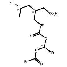 CCCC[C@@H](C)C[C@H](CNC(=O)O[C@H](OC(=O)C(C)C)C(C)C)CC(=O)O